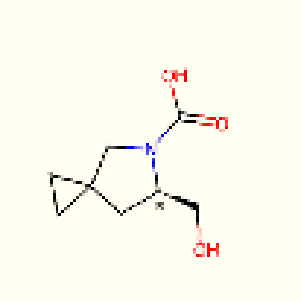 O=C(O)N1CC2(CC2)C[C@@H]1CO